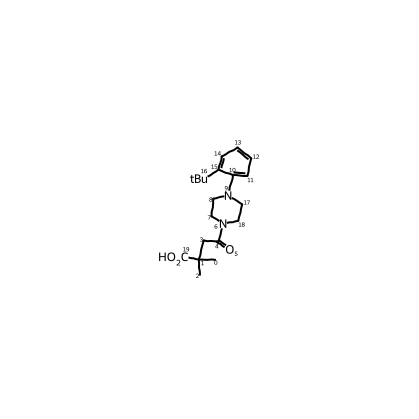 CC(C)(CC(=O)N1CCN(c2ccccc2C(C)(C)C)CC1)C(=O)O